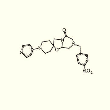 O=C1CN(Cc2ccc([N+](=O)[O-])cc2)CC2OC3(CCN(c4ccncc4)CC3)CN12